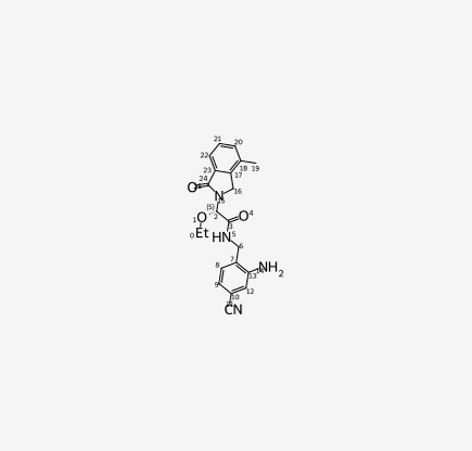 CCO[C@@H](C(=O)NCc1ccc(C#N)cc1N)N1Cc2c(C)cccc2C1=O